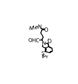 CNC(=O)CCC(C=O)N1Cc2c(SC(C)C)cccc2C1=O